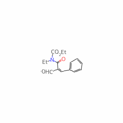 CCOC(=O)N(CC)C(=O)C([C]=O)=Cc1ccccc1